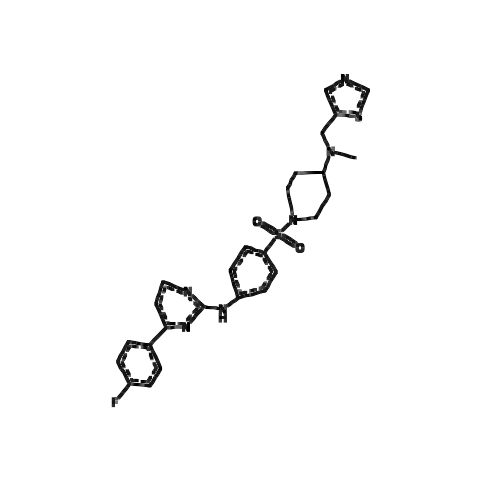 CN(Cc1cncs1)C1CCN(S(=O)(=O)c2ccc(Nc3nccc(-c4ccc(F)cc4)n3)cc2)CC1